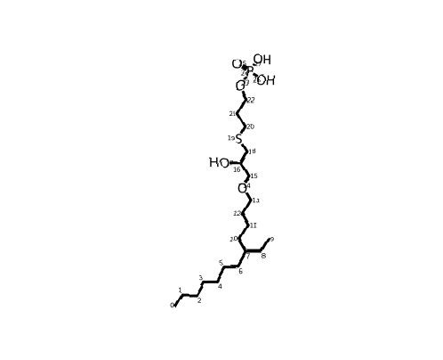 CCCCCCCC(CC)CCCCOCC(O)CSCCCOP(=O)(O)O